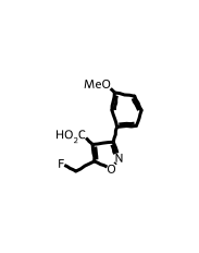 COc1cccc(-c2noc(CF)c2C(=O)O)c1